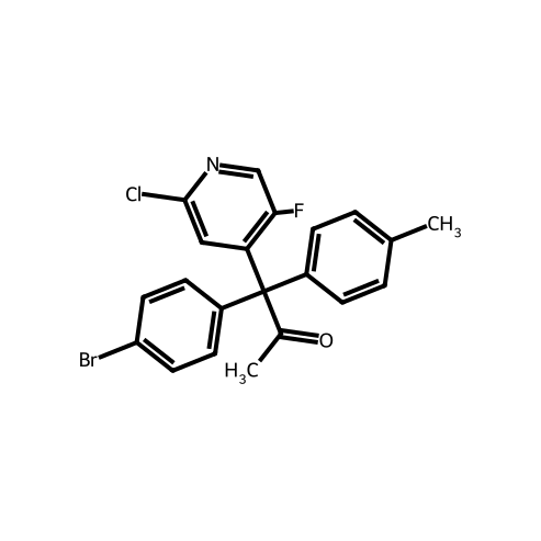 CC(=O)C(c1ccc(C)cc1)(c1ccc(Br)cc1)c1cc(Cl)ncc1F